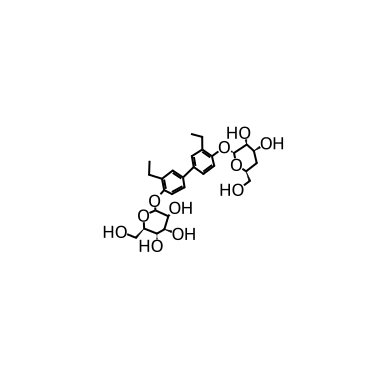 CCc1cc(-c2ccc(O[C@H]3O[C@H](CO)C[C@H](O)[C@@H]3O)c(CC)c2)ccc1OC1O[C@H](CO)[C@@H](O)[C@H](O)[C@@H]1O